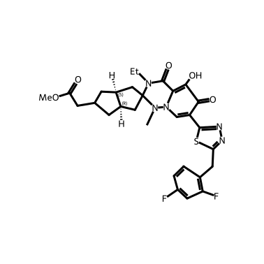 CCN1C(=O)c2c(O)c(=O)c(-c3nnc(Cc4ccc(F)cc4F)s3)cn2N(C)C12C[C@H]1CC(CC(=O)OC)C[C@H]1C2